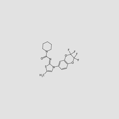 Cc1cn(-c2ccc3c(c2)OC(F)(F)C(F)(F)O3)c(=NC(=O)N2CCCCC2)s1